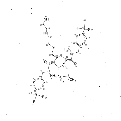 CC(C)C[C@@H]1CN(C(=O)[C@H](N)Cc2ccc(C(F)(F)F)cc2)[C@@H](CCCCNCCN)CN1C(=O)[C@H](N)Cc1ccc(C(F)(F)F)cc1